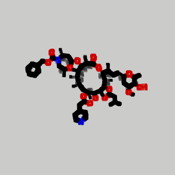 CO[C@H]1C[C@H](CC[C@H](C)[C@H]2OC(=O)[C@H](C)[C@@H](O[C@H]3C[C@@H](C)N(C(=O)OCc4ccccc4)C[C@H](C)O3)[C@H](C)[C@@H](C)[C@@H](C)C[C@](C)(OC(=O)Cc3ccncc3)C(=O)[C@H](C)[C@H](OC(=O)CC(C)C)[C@H]2C)OC(C)[C@H]1O